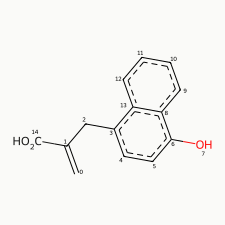 C=C(Cc1ccc(O)c2ccccc12)C(=O)O